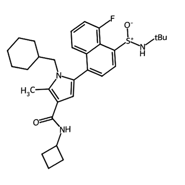 Cc1c(C(=O)NC2CCC2)cc(-c2ccc([S+]([O-])NC(C)(C)C)c3c(F)cccc23)n1CC1CCCCC1